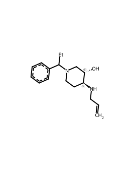 C=CCN[C@H]1CCN(C(CC)c2ccccc2)C[C@@H]1O